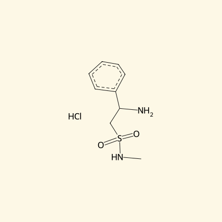 CNS(=O)(=O)CC(N)c1ccccc1.Cl